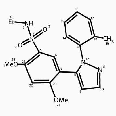 CCNS(=O)(=O)c1cc(-c2ccnn2-c2ccccc2C)c(OC)cc1OC